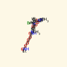 CCC(=O)NCCOCCOCCOCCOCCC(=O)N/N=C(\C)c1ccc2oc(C(=O)N3C[C@@H](CBr)c4c3cc(OC(=O)N3CCN(C)CC3)c3ccccc43)cc2c1